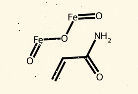 C=CC(N)=O.[O]=[Fe][O][Fe]=[O]